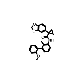 COc1ccccc1-c1cccc(NC(=O)C2(c3ccc4c(c3)OCO4)CC2)c1C